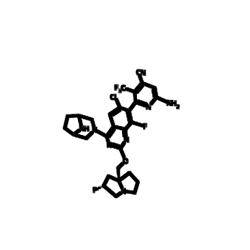 N#Cc1cc(N)nc(-c2c(Cl)cc3c(N4CC5CCC(C4)N5)nc(OC[C@@]45CCCN4C[C@H](F)C5)nc3c2F)c1C(F)(F)F